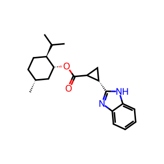 CC(C)[C@@H]1CC[C@@H](C)C[C@H]1OC(=O)C1C[C@@H]1c1nc2ccccc2[nH]1